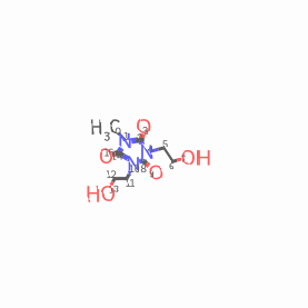 Cn1c(=O)n(CCO)c(=O)n(CCO)c1=O